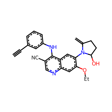 C#Cc1cccc(Nc2c(C#N)cnc3cc(OCC)c(N4C(=C)CCC4O)cc23)c1